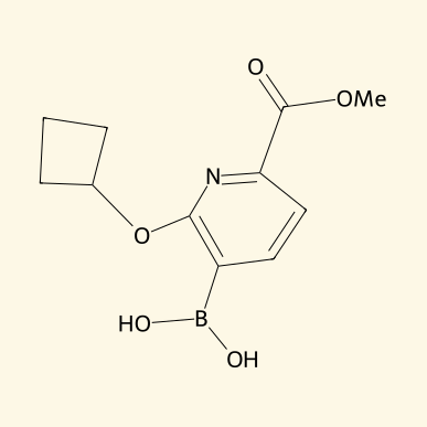 COC(=O)c1ccc(B(O)O)c(OC2CCC2)n1